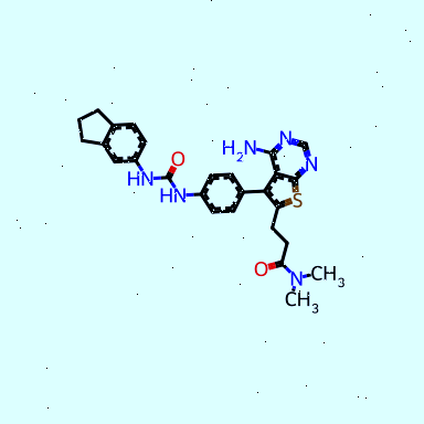 CN(C)C(=O)CCc1sc2ncnc(N)c2c1-c1ccc(NC(=O)Nc2ccc3c(c2)CCC3)cc1